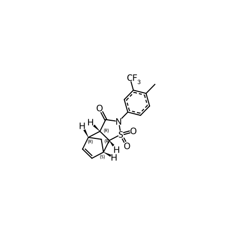 Cc1ccc(N2C(=O)[C@@H]3[C@@H]([C@@H]4C=C[C@H]3C4)S2(=O)=O)cc1C(F)(F)F